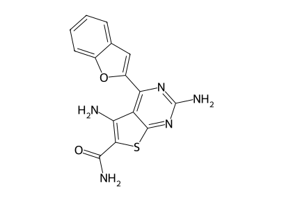 NC(=O)c1sc2nc(N)nc(-c3cc4ccccc4o3)c2c1N